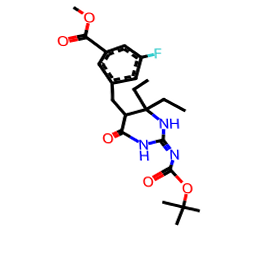 CCC1(CC)NC(=NC(=O)OC(C)(C)C)NC(=O)C1Cc1cc(F)cc(C(=O)OC)c1